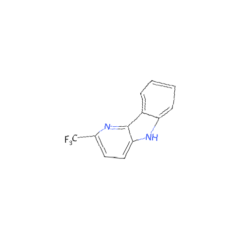 FC(F)(F)c1ccc2[nH]c3ccccc3c2n1